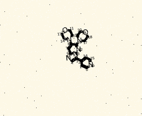 c1cc(-c2cnc3cc(N4CCOCC4)c(N4CCOCC4)nn23)ccn1